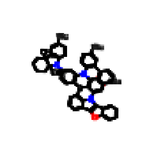 CC(C)(C)c1ccc(N2c3cc(N4c5ccc(C(C)(C)C)cc5C5(C)CCCCC45C)ccc3B3c4c2cc(C(C)(C)C)cc4-n2c4c3cccc4c3oc4ccccc4c32)c(-c2ccccc2)c1